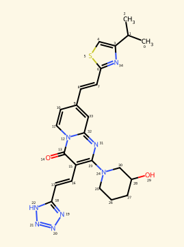 CC(C)c1csc(C=Cc2ccn3c(=O)c(C=Cc4nnn[nH]4)c(N4CCCC(O)C4)nc3c2)n1